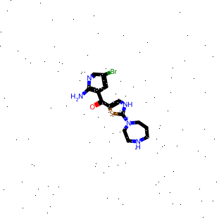 Nc1ncc(Br)cc1C(=O)C1=CNC(N2CCCNCC2)S1